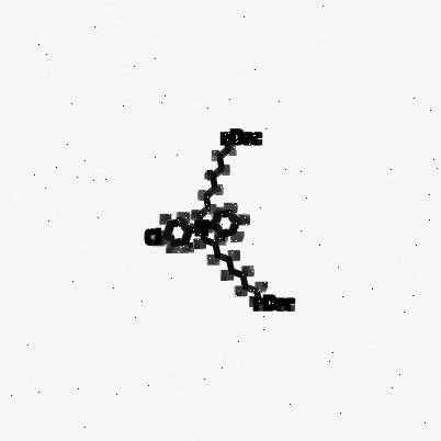 CCCCCCCCCCCCCCCCCC[N+](CCCCCCCCCCCCCCCCCC)(c1ccccc1)c1ccccc1.[Cl-]